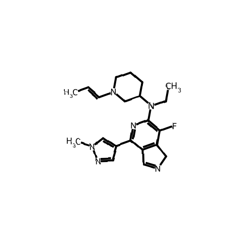 CC=CN1CCCC(N(CC)c2nc(-c3cnn(C)c3)c3c(c2F)CN=C3)C1